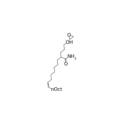 C1CO1.CCCCCCCC/C=C\CCCCCCC(CCCO)C(N)=O